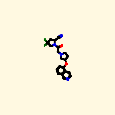 N#CC1CC(F)(F)CN1C(=O)CN1CC[C@H](Oc2cccc3cnccc23)C1